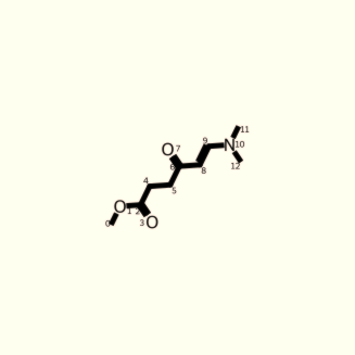 COC(=O)CCC(=O)C=CN(C)C